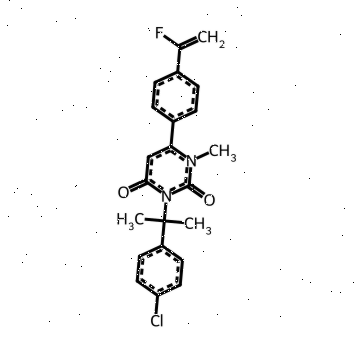 C=C(F)c1ccc(-c2cc(=O)n(C(C)(C)c3ccc(Cl)cc3)c(=O)n2C)cc1